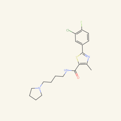 Cc1nc(-c2ccc(F)c(Cl)c2)sc1C(=O)NCCCCN1CCCC1